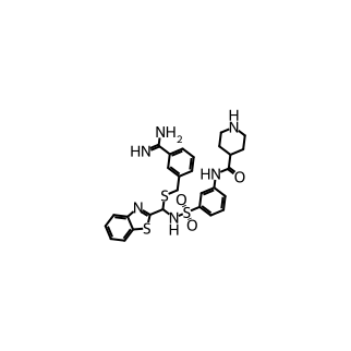 N=C(N)c1cccc(CSC(NS(=O)(=O)c2cccc(NC(=O)C3CCNCC3)c2)c2nc3ccccc3s2)c1